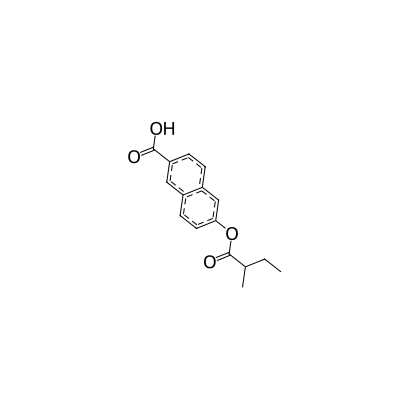 CCC(C)C(=O)Oc1ccc2cc(C(=O)O)ccc2c1